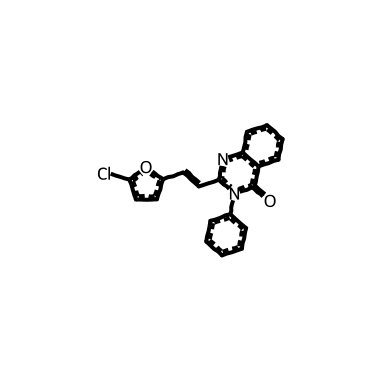 O=c1c2ccccc2nc(C=Cc2ccc(Cl)o2)n1-c1ccccc1